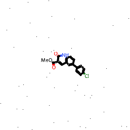 COC(=O)c1cc2cc(-c3ccc(Cl)cc3)ccc2[nH]c1=O